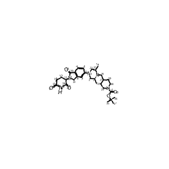 CC1CN(c2ccc3c(c2)CN(C2CCC(=O)NC2=O)C3=O)CC(C)N1CC1CCN(C(=O)OC(C)(C)C)CC1